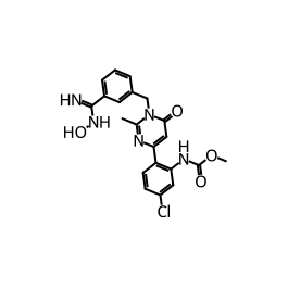 COC(=O)Nc1cc(Cl)ccc1-c1cc(=O)n(Cc2cccc(C(=N)NO)c2)c(C)n1